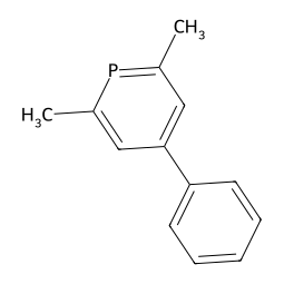 Cc1cc(-c2ccccc2)cc(C)p1